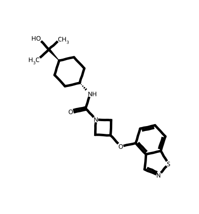 CC(C)(O)[C@H]1CC[C@H](NC(=O)N2CC(Oc3cccc4sncc34)C2)CC1